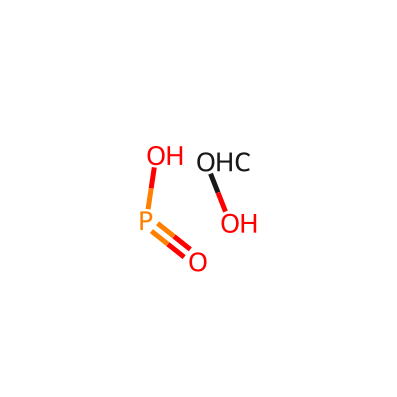 O=CO.O=PO